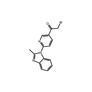 Cc1nc2ccccc2n1-c1ccc(C(=O)CBr)cn1